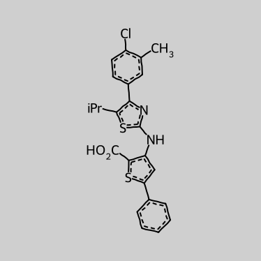 Cc1cc(-c2nc(Nc3cc(-c4ccccc4)sc3C(=O)O)sc2C(C)C)ccc1Cl